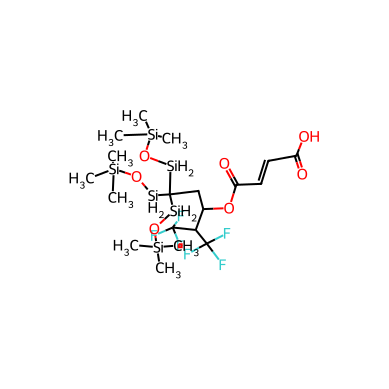 C[Si](C)(C)O[SiH2]C(CC(OC(=O)/C=C/C(=O)O)C(C(F)(F)F)C(F)(F)F)([SiH2]O[Si](C)(C)C)[SiH2]O[Si](C)(C)C